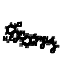 Cc1cccc(Cl)c1NC(=O)c1ccc2nc(NC(=O)C3CC3C=O)sc2c1